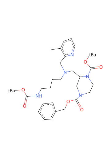 Cc1cccnc1CN(CCCCNC(=O)OC(C)(C)C)CC1CN(C(=O)OCc2ccccc2)CCN1C(=O)OC(C)(C)C